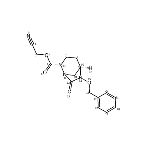 N#CCOC(=O)[C@@H]1CC[C@@H]2CN1C(=O)N2OCc1ccccc1